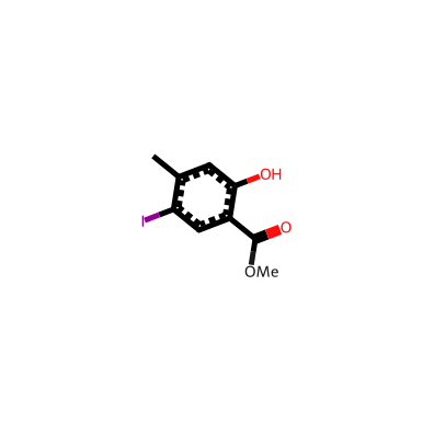 COC(=O)c1cc(I)c(C)cc1O